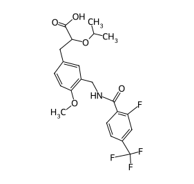 COc1ccc(CC(OC(C)C)C(=O)O)cc1CNC(=O)c1ccc(C(F)(F)F)cc1F